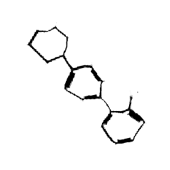 CCc1ccccc1-c1ccc(C2CCCCC2)cc1